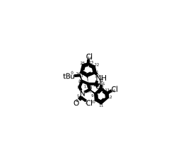 CC(C)(C)C[C@@H]1CN(C(=O)Cl)[C@H](c2cccc(Cl)c2F)[C@]12C(=O)Nc1cc(Cl)ccc12